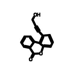 O=c1oc2cccc(C#CCO)c2c2ccccc12